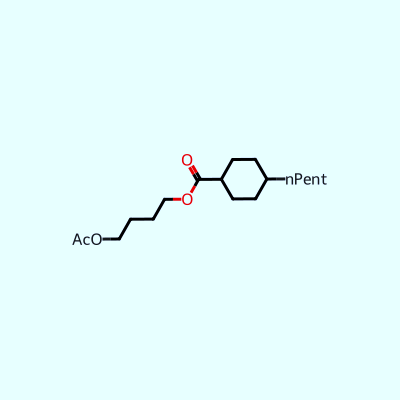 CCCCCC1CCC(C(=O)OCCCCOC(C)=O)CC1